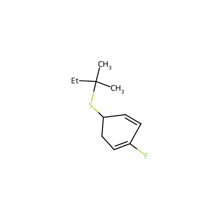 CCC(C)(C)SC1C=CC(F)=CC1